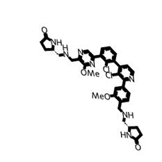 COc1cc(-c2nccc(-c3cccc(-c4cnc(CNC[C@@H]5CCC(=O)N5)c(OC)n4)c3Cl)c2Cl)ccc1CNC[C@@H]1CCC(=O)N1